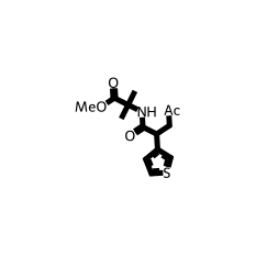 COC(=O)C(C)(C)NC(=O)C(CC(C)=O)c1ccsc1